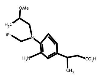 COC(C)CN(CC(C)C)c1ccc(C(C)CC(=O)O)cc1N